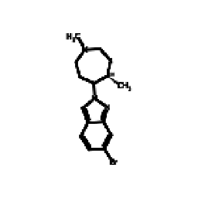 C[C@H]1SCN(C)CCC1n1cc2ccc(Br)cc2n1